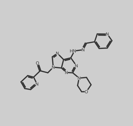 O=C(Cn1cnc2c(NN=Cc3cccnc3)nc(N3CCOCC3)nc21)c1ccccn1